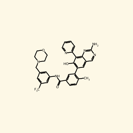 Cc1ccc(C(=O)Nc2cc(CN3CCOCC3)cc(C(F)(F)F)c2)cc1-c1cc2cnc(N)nc2c(-c2ccccn2)c1O